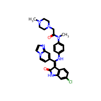 CN1CCN(CC(=O)N(C)c2ccc(NC(=C3C(=O)Nc4cc(Cl)ccc43)c3ccn4ccnc4c3)cc2)CC1